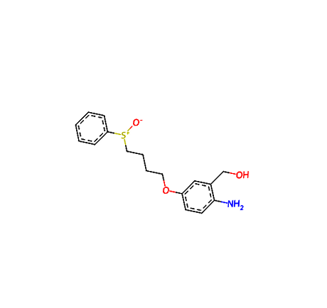 Nc1ccc(OCCCC[S+]([O-])c2ccccc2)cc1CO